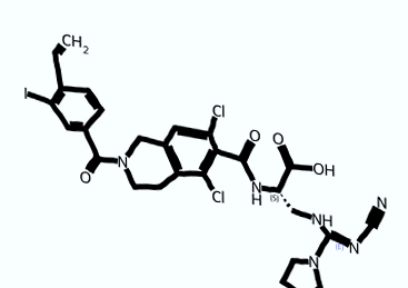 C=Cc1ccc(C(=O)N2CCc3c(cc(Cl)c(C(=O)N[C@@H](CN/C(=N\C#N)N4CCCC4)C(=O)O)c3Cl)C2)cc1I